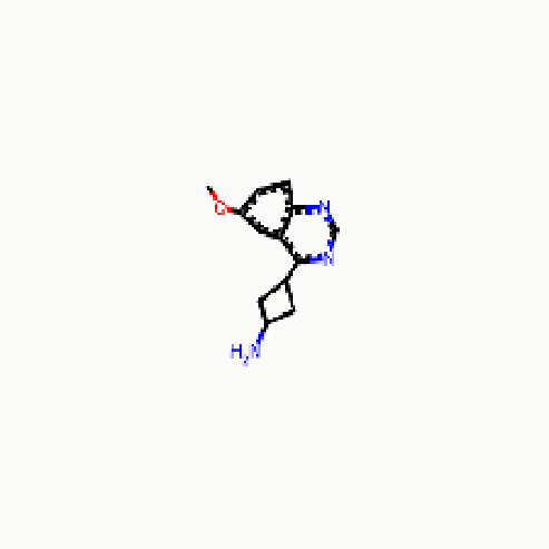 COc1ccc2ncnc(C3CC(N)C3)c2c1